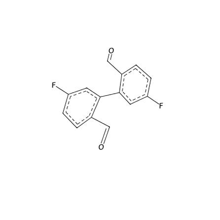 O=Cc1ccc(F)cc1-c1cc(F)ccc1C=O